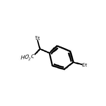 CCc1ccc(C(CC)C(=O)O)cc1